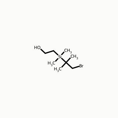 CC(C)(CBr)[Si](C)(C)CCO